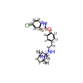 CC(=O)N1[C@@H]2CC[C@H]1CC(NCCc1ccc(Oc3nc4ccc(Cl)cc4s3)cc1)C2